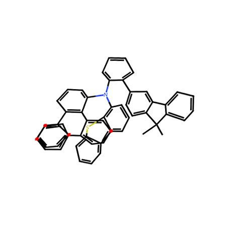 CC1(C)c2ccccc2-c2cc(-c3ccccc3N(c3cccc(-c4ccccc4)c3-c3ccccc3-c3ccccc3)c3cccc4c3sc3ccccc34)ccc21